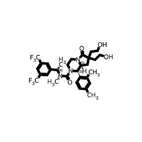 Cc1ccc([C@H]2[C@@H]3CC(CCO)(CCO)C(=O)N3CCN2C(=O)N(C)[C@H](C)c2cc(C(F)(F)F)cc(C(F)(F)F)c2)c(C)c1